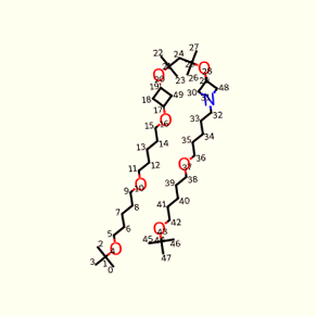 CC(C)(C)OCCCCCOCCCCCO[C@H]1C[C@H](OC(C)(C)CC(C)(C)OC2CN(CCCCCOCCCCCOC(C)(C)C)C2)C1